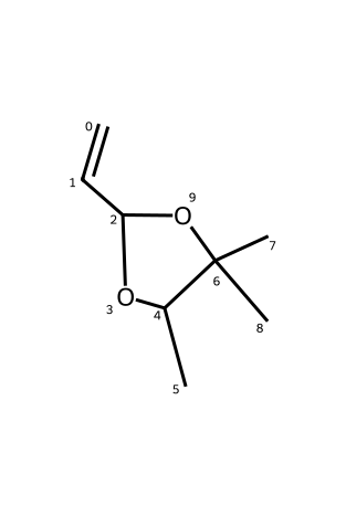 C=CC1OC(C)C(C)(C)O1